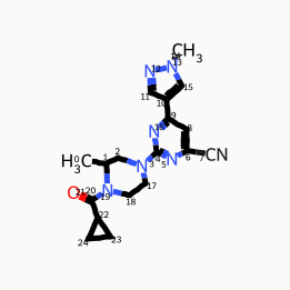 CC1CN(c2nc(C#N)cc(-c3cnn(C)c3)n2)CCN1C(=O)C1CC1